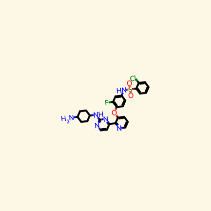 NC1CCC(Nc2nccc(-c3ncccc3Oc3ccc(NS(=O)(=O)c4ccccc4Cl)cc3F)n2)CC1